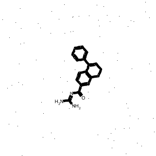 NC(N)=NC(=O)c1ccc2c(c1)CCC=C2c1ccccc1